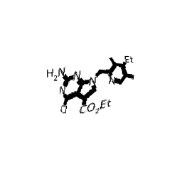 CCOC(=O)c1cn(Cc2ncc(C)c(CC)c2C)c2nc(N)nc(Cl)c12